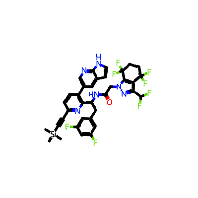 C[Si](C)(C)C#Cc1ccc(-c2cnc3[nH]ccc3c2)c(C(Cc2cc(F)cc(F)c2)NC(=O)Cn2nc(C(F)F)c3c2C(F)(F)CCC3(F)F)n1